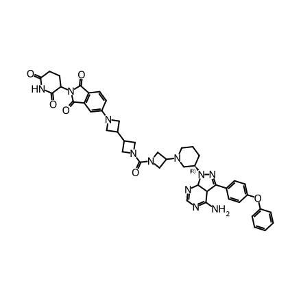 NC1=NC=NC2C1C(c1ccc(Oc3ccccc3)cc1)=NN2[C@@H]1CCCN(C2CN(C(=O)N3CC(C4CN(c5ccc6c(c5)C(=O)N(C5CCC(=O)NC5=O)C6=O)C4)C3)C2)C1